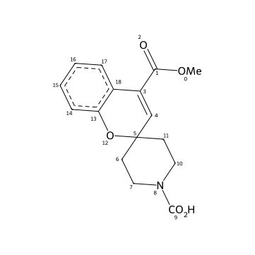 COC(=O)C1=CC2(CCN(C(=O)O)CC2)Oc2ccccc21